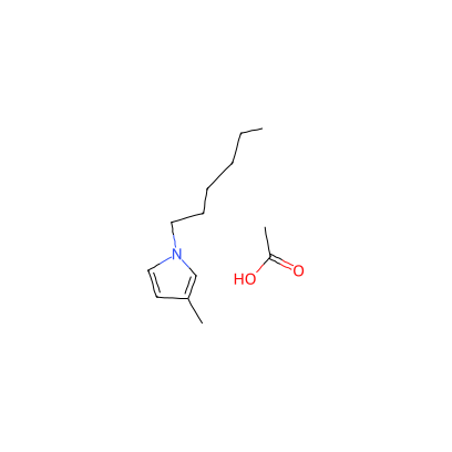 CC(=O)O.CCCCCCn1ccc(C)c1